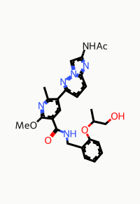 COc1nc(C)c(-c2ccc3nc(NC(C)=O)cn3n2)cc1C(=O)NCc1ccccc1OC(C)CO